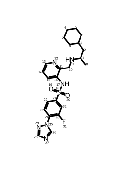 CC(CC1CCCCC1)NCc1ncccc1NS(=O)(=O)c1ccc(-n2cncn2)c(F)c1